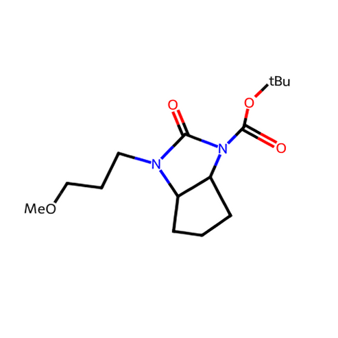 COCCCN1C(=O)N(C(=O)OC(C)(C)C)C2CCCC21